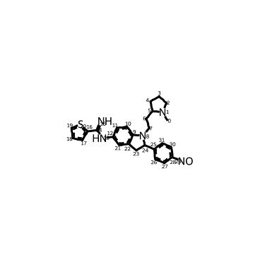 CN1CCCC1CCN1c2ccc(NC(=N)c3cccs3)cc2CC1c1ccc(N=O)cc1